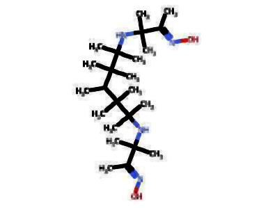 C/C(=N\O)C(C)(C)NC(C)(C)C(C)(C)C(C)C(C)(C)C(C)(C)NC(C)(C)/C(C)=N/O